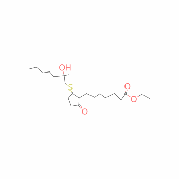 CCCCCC(C)(O)CSC1CCC(=O)C1CCCCCCC(=O)OCC